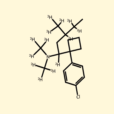 [2H]C([2H])([2H])N(C([2H])([2H])[2H])C([2H])(CC([2H])(C([2H])([2H])[2H])C([2H])([2H])C)C1(c2ccc(Cl)cc2)CCC1